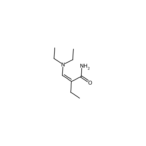 CCC(=CN(CC)CC)C(N)=O